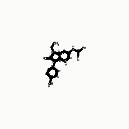 CCn1c(=O)n(-c2ccc(O)cc2)c2ncc(OC(F)F)cc21